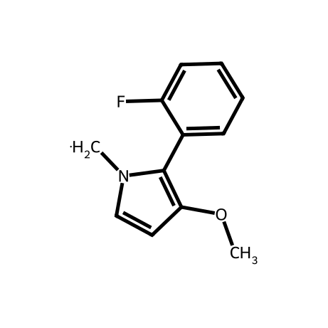 [CH2]n1ccc(OC)c1-c1ccccc1F